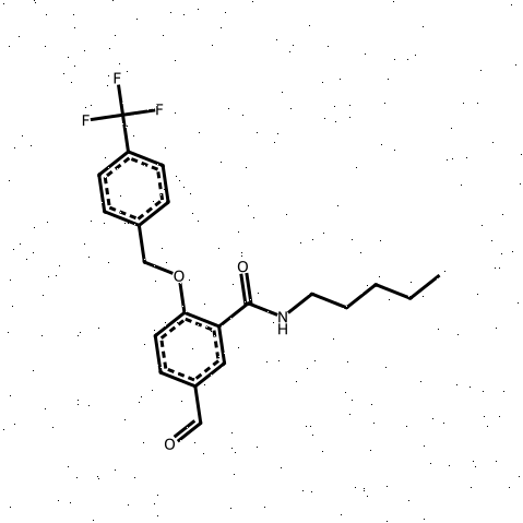 CCCCCNC(=O)c1cc(C=O)ccc1OCc1ccc(C(F)(F)F)cc1